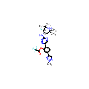 Cn1ncc(-c2ccc(-c3cnc(N[C@H]4CC(C)(C)NC(C)(C)[C@H]4F)nn3)c(OC(=O)C(F)(F)F)c2)n1